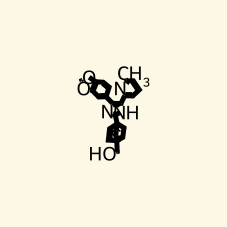 Cc1cccc(-c2[nH]c(C34CCC(CO)(CC3)CC4)nc2-c2ccc3c(c2)OCO3)n1